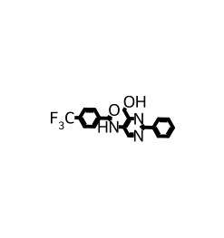 O=C(Nc1cnc(-c2ccccc2)nc1CO)c1ccc(C(F)(F)F)cc1